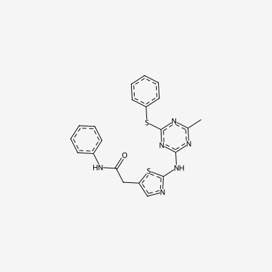 Cc1nc(Nc2ncc(CC(=O)Nc3ccccc3)s2)nc(Sc2ccccc2)n1